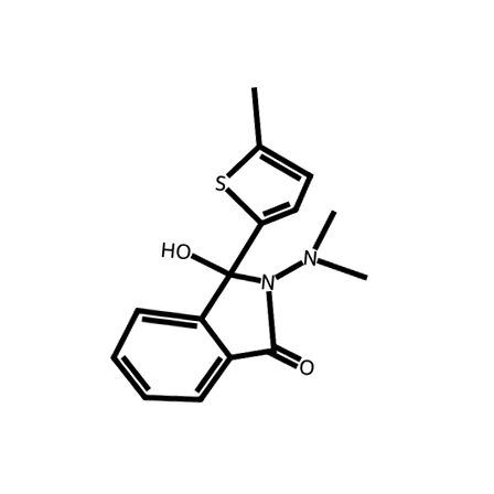 Cc1ccc(C2(O)c3ccccc3C(=O)N2N(C)C)s1